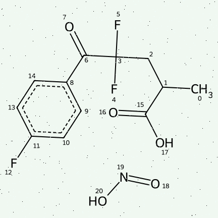 CC(CC(F)(F)C(=O)c1ccc(F)cc1)C(=O)O.O=NO